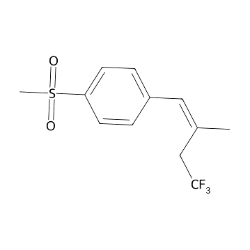 CC(=Cc1ccc(S(C)(=O)=O)cc1)CC(F)(F)F